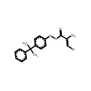 CCC=C(C)C(=O)OOc1ccc(C(C)(C)c2ccccc2)cc1